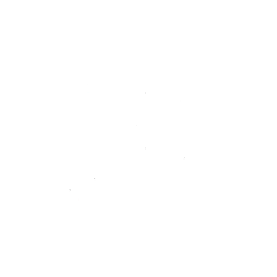 CC(=O)Cc1c(F)cc(O)cc1F